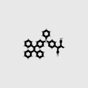 C/C(C#N)=C(\C#N)c1ccc(N(c2ccccc2)c2ccc(C(=C(c3ccccc3)c3ccccc3)c3ccccc3)cc2)cc1